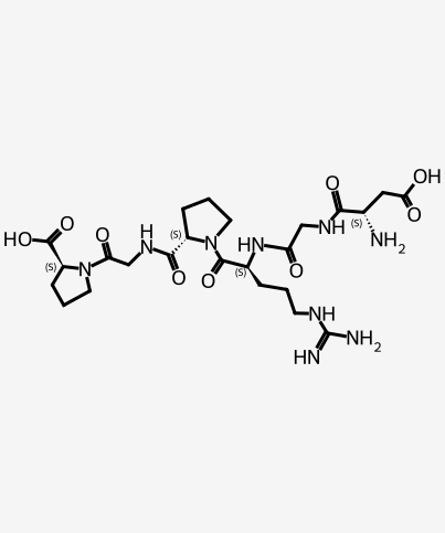 N=C(N)NCCC[C@H](NC(=O)CNC(=O)[C@@H](N)CC(=O)O)C(=O)N1CCC[C@H]1C(=O)NCC(=O)N1CCC[C@H]1C(=O)O